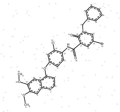 COc1cc2nccc(Oc3ccc(NC(=O)c4cc(Br)cn(Cc5ccccc5)c4=O)c(Cl)c3)c2cc1OC